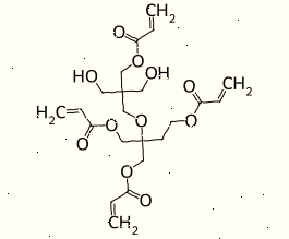 C=CC(=O)OCCC(COC(=O)C=C)(COC(=O)C=C)OCC(CO)(CO)COC(=O)C=C